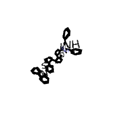 N=C(/N=C(\N=C\c1ccccc1)c1cccc2c1oc1cccc(-c3cccc4sc5c(-n6c7ccccc7c7ccccc76)cccc5c34)c12)c1ccccc1